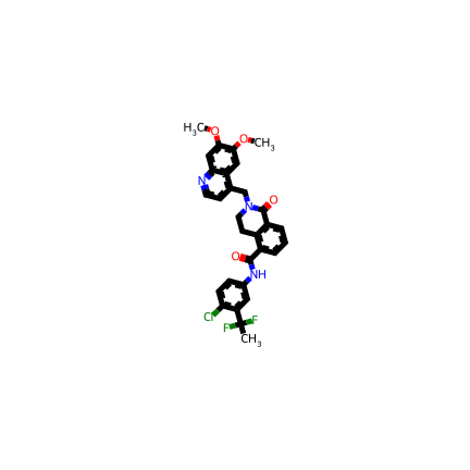 COc1cc2nccc(CN3CCc4c(C(=O)Nc5ccc(Cl)c(C(C)(F)F)c5)cccc4C3=O)c2cc1OC